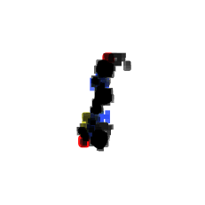 CC(C)c1ccccc1N1C(=O)CS/C1=N\C(=S)NCCCc1cccc(-c2ncn(-c3ccc(OC(F)(F)F)cc3)n2)c1